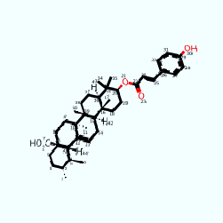 C[C@H]1[C@H](C)CC[C@]2(C(=O)O)CC[C@]3(C)C(=CC[C@@H]4[C@@]5(C)CC[C@H](OC(=O)/C=C/c6ccc(O)cc6)C(C)(C)[C@@H]5CC[C@]43C)[C@H]12